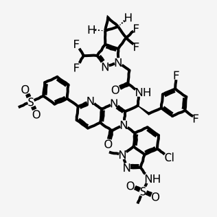 Cn1nc(NS(C)(=O)=O)c2c(Cl)ccc(-n3c([C@H](Cc4cc(F)cc(F)c4)NC(=O)Cn4nc(C(F)F)c5c4C(F)(F)[C@@H]4C[C@H]54)nc4nc(-c5cccc(S(C)(=O)=O)c5)ccc4c3=O)c21